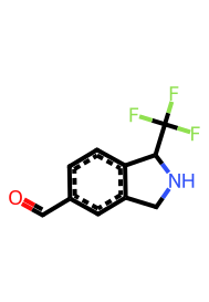 O=Cc1ccc2c(c1)CNC2C(F)(F)F